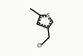 Cc1cc(CCl)cs1